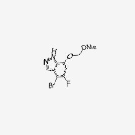 COCOc1cc(F)c(Br)c2cn[nH]c12